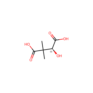 CC(C)(C(=O)O)[C@H](O)C(=O)O